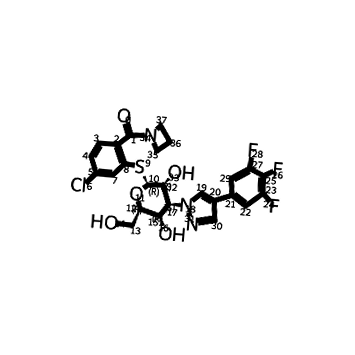 O=C(c1ccc(Cl)cc1S[C@H]1O[C@H](CO)[C@H](O)[C@H](n2cc(-c3cc(F)c(F)c(F)c3)cn2)[C@H]1O)N1CCC1